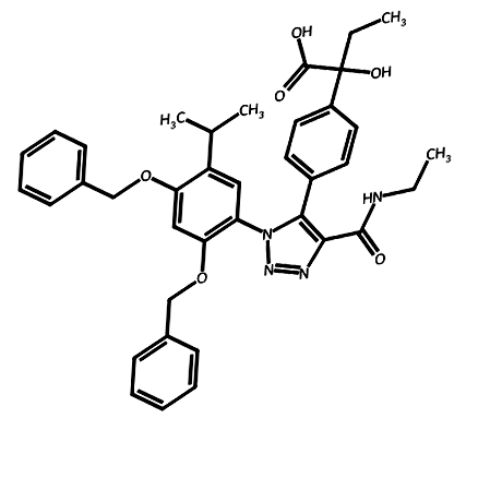 CCNC(=O)c1nnn(-c2cc(C(C)C)c(OCc3ccccc3)cc2OCc2ccccc2)c1-c1ccc(C(O)(CC)C(=O)O)cc1